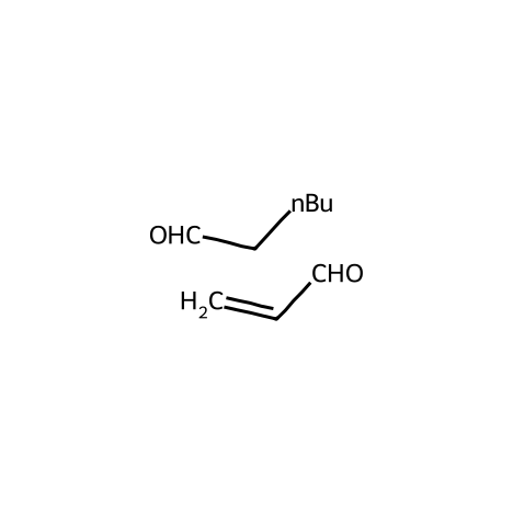 C=CC=O.CCCCCC=O